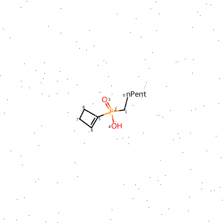 CCCCCCP(=O)(O)C1=CCC1